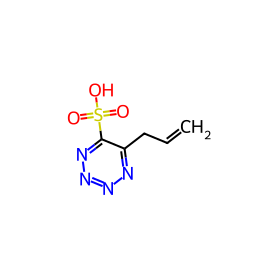 C=CCc1nnnnc1S(=O)(=O)O